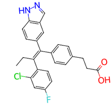 CC/C(=C(/c1ccc(CCC(=O)O)cc1)c1ccc2[nH]ncc2c1)c1ccc(F)cc1Cl